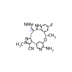 CN/C=C1/Cc2nn(C)c(C#N)c2-c2cnc(N)c(c2)OC(C)c2cc(F)ccc2C1=N